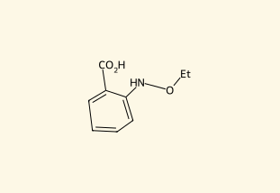 CCONc1ccccc1C(=O)O